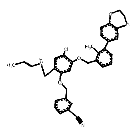 CCCNCc1cc(Cl)c(OCc2cccc(-c3ccc4c(c3)OCCO4)c2C)cc1OCc1cccc(C#N)c1